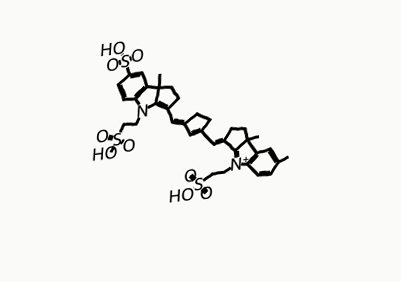 Cc1ccc2c(c1)C1(C)CC/C(=C\C3=CC(=C/C4=C5N(CCS(=O)(=O)O)c6ccc(S(=O)(=O)O)cc6C5(C)CC4)/CC3)C1=[N+]2CCS(=O)(=O)O